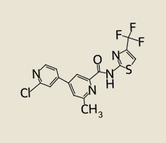 Cc1cc(-c2ccnc(Cl)c2)cc(C(=O)Nc2nc(C(F)(F)F)cs2)n1